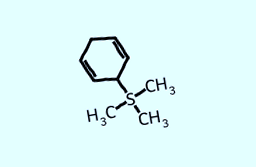 CS(C)(C)C1C=CCC=C1